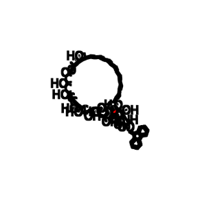 CC1O[C@@H](O[C@H]2/C=C/C=C/C=C/C=C/C=C/C=C/C=C/[C@H](C)[C@@H](O)[C@@H](C)[C@H](C)OC(=O)C[C@H](O)C[C@H](O)CC[C@@H](O)[C@H](O)C[C@H](O)C[C@]3(O)C[C@H](O)[C@@H](C(=O)O)[C@H](C2)O3)[C@H](O)C(NC(=O)OCC2c3ccccc3-c3ccccc32)C1O